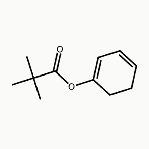 CC(C)(C)C(=O)OC1=CC=CCC1